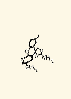 Bc1cnc2c(c1)C1(COC(N)=N1)c1cc(I)ccc1O2